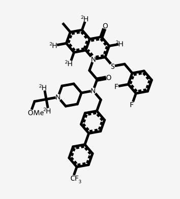 [2H]c1c(C)c([2H])c2c(=O)c([2H])c(SCc3cccc(F)c3F)n(CC(=O)N(Cc3ccc(-c4ccc(C(F)(F)F)cc4)cc3)C3CCN(C([2H])([2H])COC)CC3)c2c1[2H]